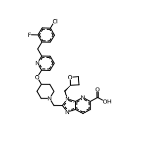 O=C(O)c1ccc2nc(CN3CCC(Oc4cccc(Cc5ccc(Cl)cc5F)n4)CC3)n(C[C@@H]3CCO3)c2n1